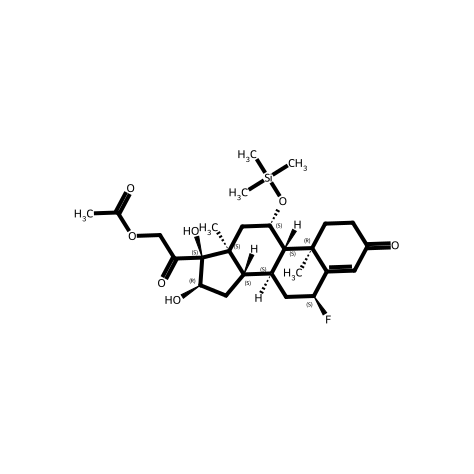 CC(=O)OCC(=O)[C@@]1(O)[C@H](O)C[C@H]2[C@@H]3C[C@H](F)C4=CC(=O)CC[C@]4(C)[C@H]3[C@@H](O[Si](C)(C)C)C[C@@]21C